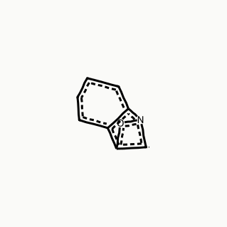 [c]1c2on1c1ccccc21